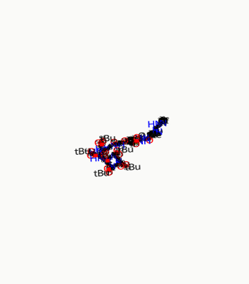 COC(=O)[C@H](CNC(=O)c1ccc2c(cnn2CCNC2=NCCCC2)c1)NS(=O)(=O)c1c(C)cc(OCCCC(=O)NCCNC(=O)[C@H](CCC(=O)OC(C)(C)C)NC(=O)[C@H](CCC(=O)OC(C)(C)C)NC(=O)CN2CCN(CC(=O)OC(C)(C)C)CCN(CC(=O)OC(C)(C)C)CCN(CC(=O)OC(C)(C)C)CC2)cc1C